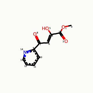 COC(=O)C(O)=CC(=O)c1ccccn1